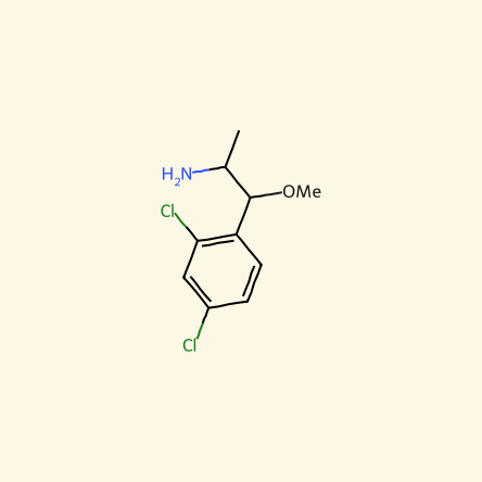 COC(c1ccc(Cl)cc1Cl)C(C)N